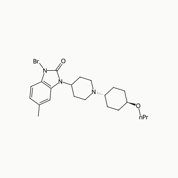 CCCO[C@H]1CC[C@H](N2CCC(n3c(=O)n(Br)c4ccc(C)cc43)CC2)CC1